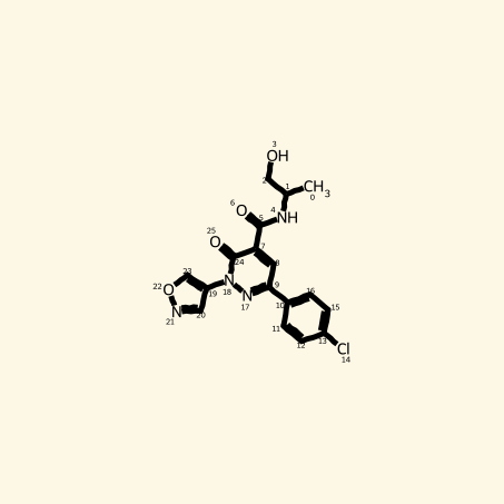 CC(CO)NC(=O)c1cc(-c2ccc(Cl)cc2)nn(-c2cnoc2)c1=O